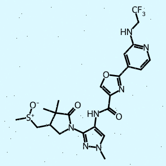 Cn1cc(NC(=O)c2coc(-c3ccnc(NCC(F)(F)F)c3)n2)c(N2CC(C[S+](C)[O-])C(C)(C)C2=O)n1